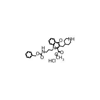 COC(=O)c1c(CC2CCNCC2)c(=O)c2ccccc2n1CCCNC(=O)OCc1ccccc1.Cl